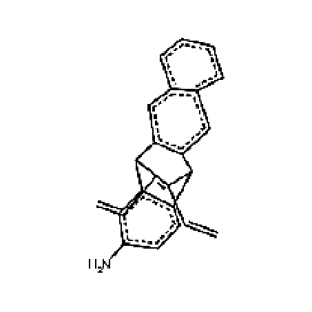 C=CC1=C(C=C)C2c3cc(N)ccc3C1c1cc3ccccc3cc12